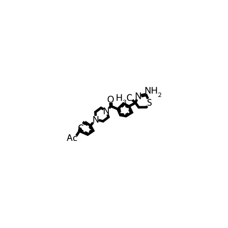 CC(=O)c1ccc(N2CCN(C(=O)c3cccc(C4(C)CCSC(N)=N4)c3)CC2)cc1